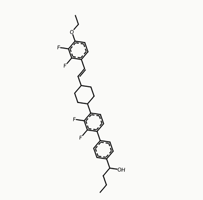 CCCC(O)c1ccc(-c2ccc(C3CCC(/C=C/c4ccc(OCC)c(F)c4F)CC3)c(F)c2F)cc1